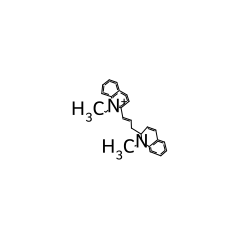 CCN1c2ccccc2C=CC1CC=Cc1ccc2ccccc2[n+]1CC